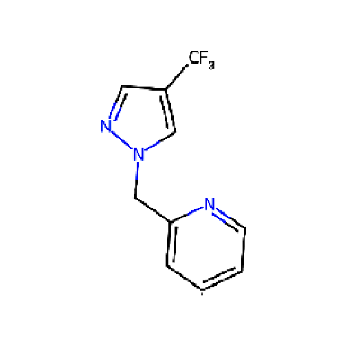 FC(F)(F)c1cnn(Cc2c[c]ccn2)c1